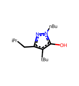 CCCCn1nc(CC(C)C)c(C(C)(C)C)c1O